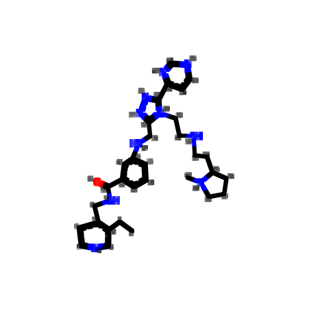 CCc1cnccc1CNC(=O)c1cccc(NCc2nnc(-c3ccncn3)n2CCNCCC2CCCN2C)c1